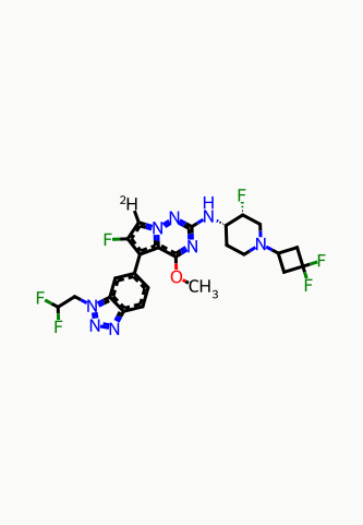 [2H]c1c(F)c(-c2ccc3nnn(CC(F)F)c3c2)c2c(OC)nc(N[C@H]3CCN(C4CC(F)(F)C4)C[C@H]3F)nn12